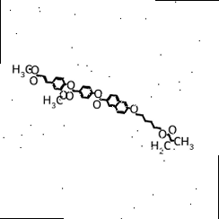 C=C(C)C(=O)OCCCCCCOc1ccc2cc(C(=O)Oc3ccc(C(=O)Oc4ccc(C=CC(=O)OC)cc4OC)cc3)ccc2c1